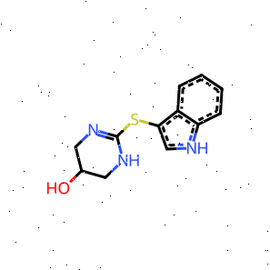 OC1CN=C(Sc2c[nH]c3ccccc23)NC1